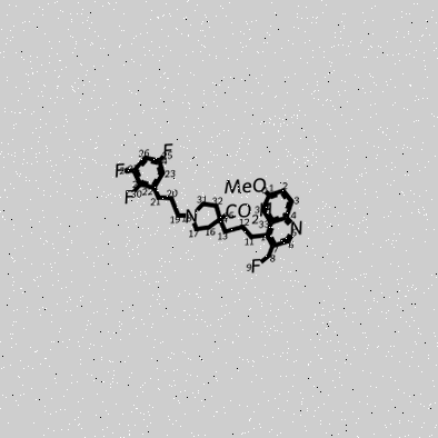 COc1ccc2ncc(CF)c(CCCC3(C(=O)O)CCN(CCCc4cc(F)cc(F)c4F)CC3)c2c1